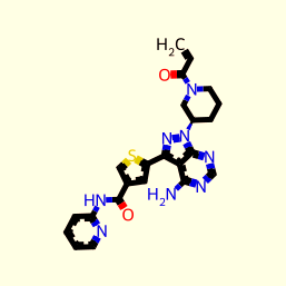 C=CC(=O)N1CCC[C@@H](n2nc(-c3cc(C(=O)Nc4ccccn4)cs3)c3c(N)ncnc32)C1